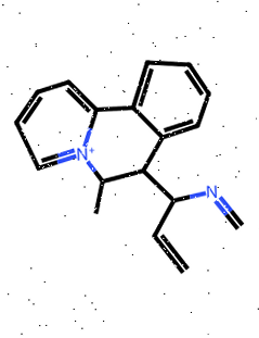 C=CC(N=C)C1c2ccccc2-c2cccc[n+]2C1C